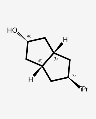 CC(C)[C@@H]1C[C@H]2C[C@@H](O)C[C@H]2C1